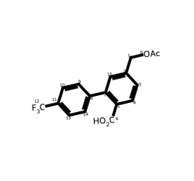 CC(=O)OCc1ccc(C(=O)O)c(-c2ccc(C(F)(F)F)cc2)c1